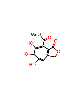 COC(=O)C1=C(O)C(O)C(O)=CC2=C1C(=O)OC2